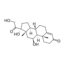 C[C@]12CCC(=O)C=C1CC[C@@H]1[C@@H]2[C@@H](O)C[C@@]2(C)[C@H]1CC[C@]2(O)C(=O)[CH]O